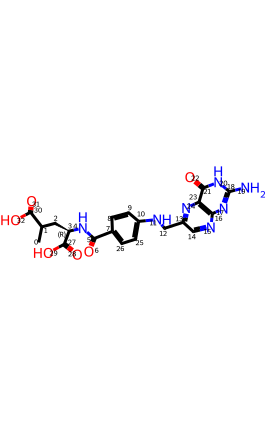 CC(C[C@@H](NC(=O)c1ccc(NCc2cnc3nc(N)[nH]c(=O)c3n2)cc1)C(=O)O)C(=O)O